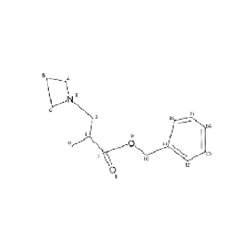 CC(CN1CCC1)C(=O)OCc1ccccc1